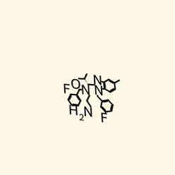 Cc1ccc2c(c1)nc([C@@H](C(C)C)N(CCCN)C(=O)c1ccccc1F)n2Cc1cccc(F)c1